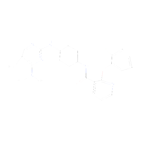 Cc1cnc(NC2CCC(NC(=O)c3cccnc3Oc3ccccc3F)CC2)nc1N(C)C